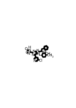 COc1ccccc1CC(F)c1nc2nc(-c3noc(=O)[nH]3)nc(-c3cncc(Cl)c3)c2n1C[C@H]1CC[C@H](C)CC1